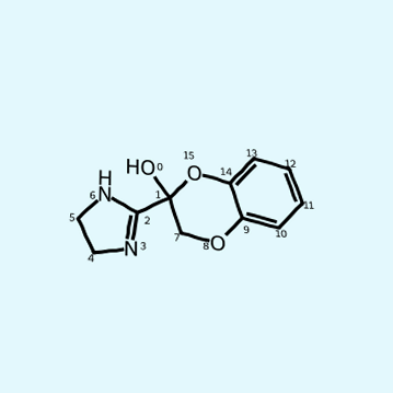 OC1(C2=NCCN2)COc2ccccc2O1